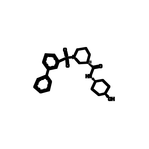 O=C(N[C@H]1CC[C@H](O)CC1)[C@H]1CCCN(S(=O)(=O)c2cccc(-c3ccccc3)c2)C1